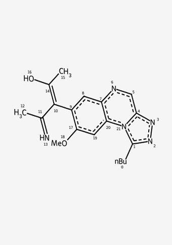 CCCCc1nnc2cnc3cc(/C(C(C)=N)=C(\C)O)c(OC)cc3n12